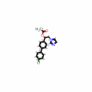 CC(=O)OC(Cn1ccnc1)c1ccc(-c2ccc(Cl)cc2)cc1